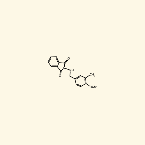 COc1ccc(CNN2C(=O)c3ccccc3C2=O)cc1C